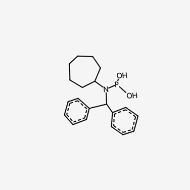 OP(O)N(C1CCCCCC1)C(c1ccccc1)c1ccccc1